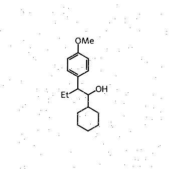 CCC(c1ccc(OC)cc1)C(O)C1CCCCC1